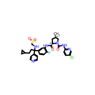 C[C@@H]1C[C@H](C(=O)Nc2cc(C(CCC3CC3)(NC[SH](=O)=O)c3ccncc3)ccc2F)N(C(=O)Nc2ccc(Cl)cn2)C1